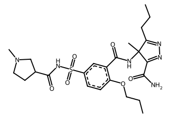 CCCOc1ccc(S(=O)(=O)NC(=O)C2CCN(C)C2)cc1C(=O)NC1(C)C(CCC)=NN=C1C(N)=O